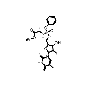 C=C1NC(=S)N([C@H]2OC(COP(=O)(N[C@@H](C)C(=O)OC(C)C)Oc3ccccc3)[C@@H](O)C2F)C=C1C